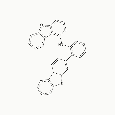 C1=CC2c3ccccc3SC2C=C1c1ccccc1Nc1cccc2oc3ccccc3c12